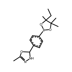 CCC1(C)OB(c2ccc(C3NN=C(C)O3)cc2)OC1(C)C